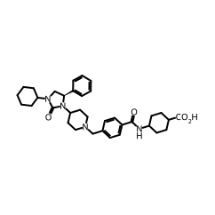 O=C(NC1CCC(C(=O)O)CC1)c1ccc(CN2CCC(N3C(=O)N(C4CCCCC4)C[C@H]3c3ccccc3)CC2)cc1